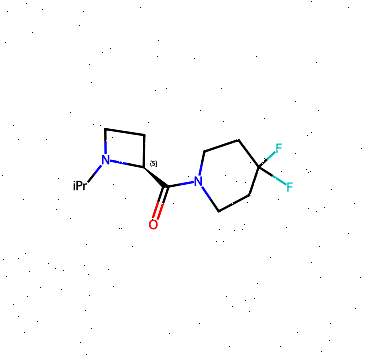 CC(C)N1CC[C@H]1C(=O)N1CCC(F)(F)CC1